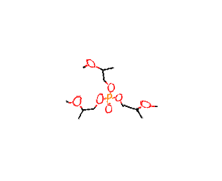 COC(C)COP(=O)(OCC(C)OC)OCC(C)OC